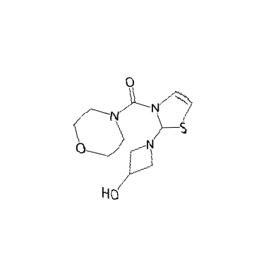 O=C(N1CCOCC1)N1C=CSC1N1CC(O)C1